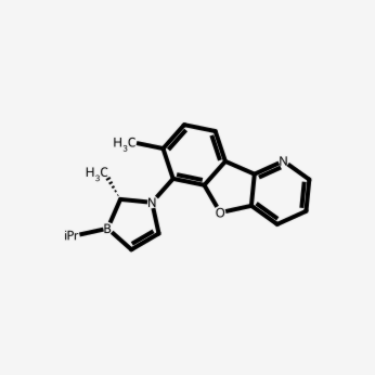 Cc1ccc2c(oc3cccnc32)c1N1C=CB(C(C)C)[C@@H]1C